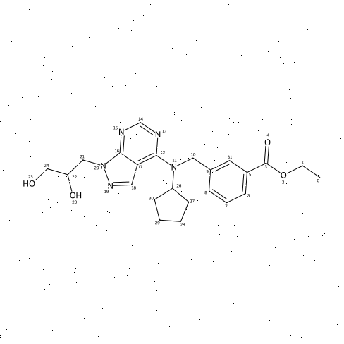 CCOC(=O)c1cccc(CN(c2ncnc3c2cnn3CC(O)CO)C2CCCC2)c1